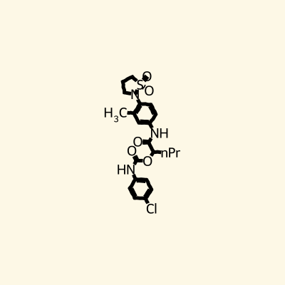 CCCC(OC(=O)Nc1ccc(Cl)cc1)C(=O)Nc1ccc(N2CCCS2(=O)=O)c(C)c1